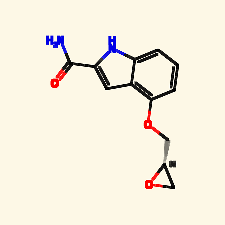 NC(=O)c1cc2c(OC[C@@H]3CO3)cccc2[nH]1